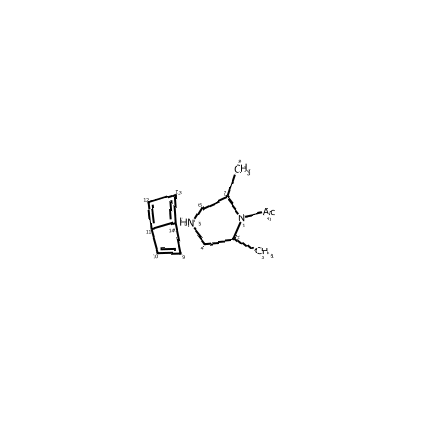 CC(=O)N1C(C)CNCC1C.c1cc2ccc1-2